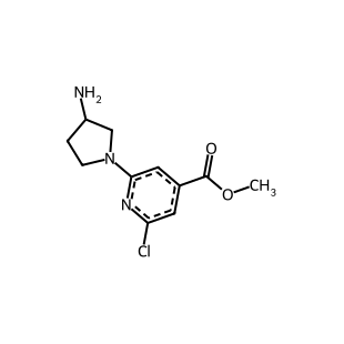 COC(=O)c1cc(Cl)nc(N2CCC(N)C2)c1